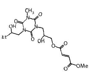 CCC(O)Cn1c(=O)n(C)c(=O)n(CC(O)COC(=O)/C=C/C(=O)OC)c1=O